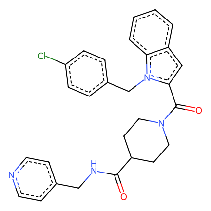 O=C(NCc1ccncc1)C1CCN(C(=O)c2cc3ccccc3n2Cc2ccc(Cl)cc2)CC1